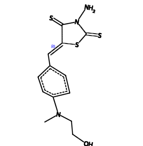 CN(CCO)c1ccc(/C=C2\SC(=S)N(N)C2=S)cc1